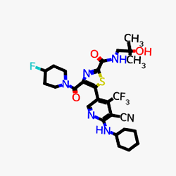 CC(C)(O)CNC(=O)c1nc(C(=O)N2CCC(F)CC2)c(-c2cnc(NC3CCCCC3)c(C#N)c2C(F)(F)F)s1